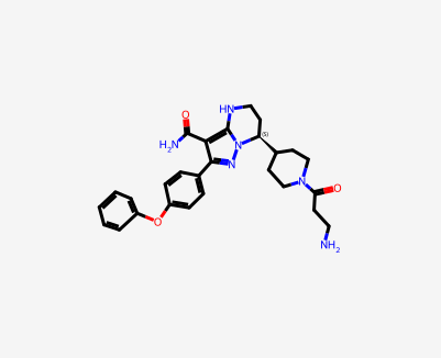 NCCC(=O)N1CCC([C@@H]2CCNc3c(C(N)=O)c(-c4ccc(Oc5ccccc5)cc4)nn32)CC1